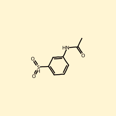 CC(=O)Nc1cccc([SH](=O)=O)c1